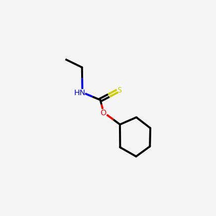 CCNC(=S)OC1CCCCC1